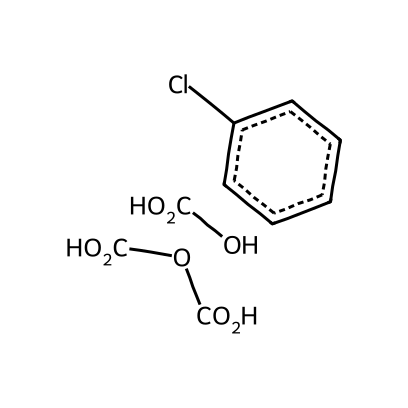 Clc1ccccc1.O=C(O)O.O=C(O)OC(=O)O